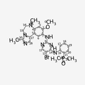 COc1cc2c(cc1Nc1ncc(Br)c(Nc3ccccc3P(C)(C)=O)n1)-c1cnc(C)n1CCN2C